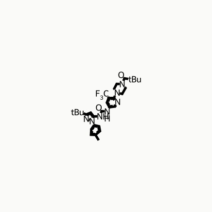 Cc1ccc(-n2nc(C(C)(C)C)cc2NC(=O)Nc2cnc(N3CCN(C(=O)C(C)(C)C)CC3)c(C(F)(F)F)c2)cc1